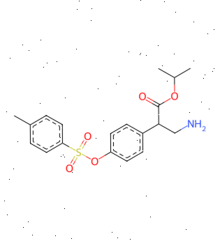 Cc1ccc(S(=O)(=O)Oc2ccc(C(CN)C(=O)OC(C)C)cc2)cc1